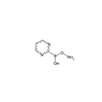 NOB(O)c1ncccn1